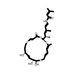 CC(C)=CC(=O)N/C=C/C(C)=C/[C@@H](C)[C@H]1C/C(C)=C/C=C/CC[C@@H](O)[C@H](O)/C=C/[C@H](O)CCC/C=C/C(=O)O1